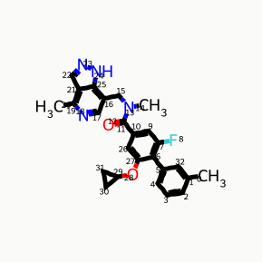 Cc1cccc(-c2c(F)cc(C(=O)N(C)Cc3cnc(C)c4cn[nH]c34)cc2OC2CC2)c1